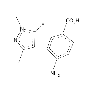 Cc1cc(F)n(C)n1.Nc1ccc(C(=O)O)cc1